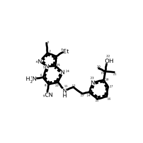 CCc1c(C)nn2c(N)c(C#N)c(NCCc3cccc(C(C)(C)O)n3)nc12